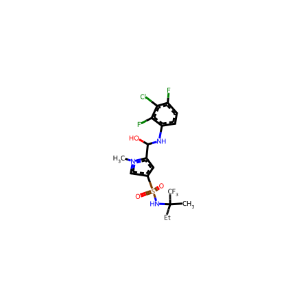 CCC(C)(NS(=O)(=O)c1cc(C(O)Nc2ccc(F)c(Cl)c2F)n(C)c1)C(F)(F)F